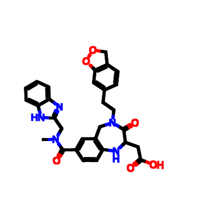 CN(Cc1nc2ccccc2[nH]1)C(=O)c1ccc2c(c1)CN(CCc1ccc3c(c1)OOC3)C(=O)C(CC(=O)O)N2